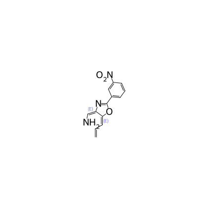 C=C/C=c1/oc(-c2cccc([N+](=O)[O-])c2)n/c1=C/N